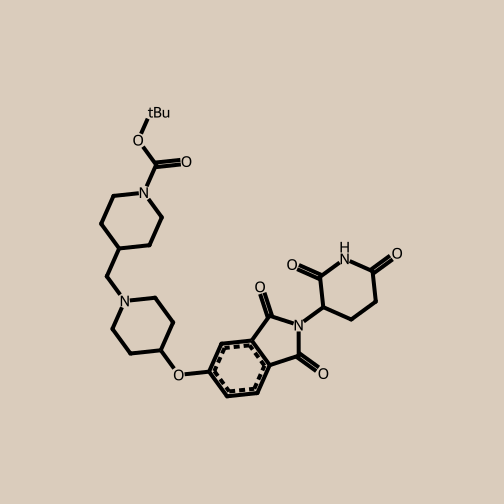 CC(C)(C)OC(=O)N1CCC(CN2CCC(Oc3ccc4c(c3)C(=O)N(C3CCC(=O)NC3=O)C4=O)CC2)CC1